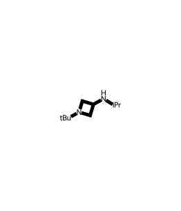 CC(C)NC1CN(C(C)(C)C)C1